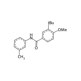 COc1ccc(C(=O)Nc2cccc(C)c2)cc1C(C)(C)C